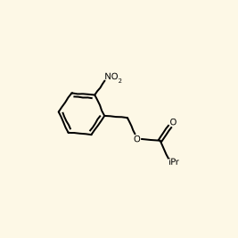 CC(C)C(=O)OCc1ccccc1[N+](=O)[O-]